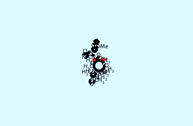 CC[C@H]1OC(=O)[C@H](C)[C@@H](O)[C@H](C)[C@@H](O[C@@H]2O[C@H](C)C[C@@H](N3CCOCC3)[C@@H]2N(C)C)[C@](C)(OC)C[C@@H](C)C(=O)[C@H](C)[C@H]2C(SCCN(Cc3c(Cl)cncc3Cl)c3ccc(OC)c(OC4CCCC4)c3)C(=O)O[C@@]21C